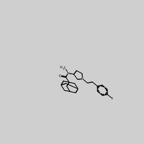 CN(C(=O)C12CC3CC(CC(C3)C1)C2)C1CCN(CCc2ccc(F)cc2)C1